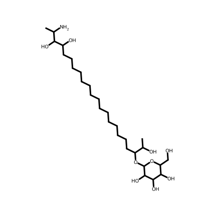 CC(N)C(O)C(O)CCCCCCCCCCCCCCCC(OC1OC(CO)C(O)C(O)C1O)C(C)O